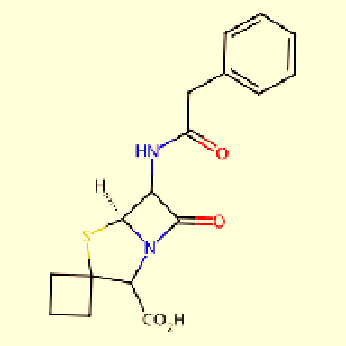 O=C(Cc1ccccc1)NC1C(=O)N2C(C(=O)O)C3(CCC3)S[C@@H]12